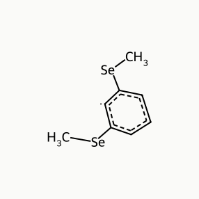 C[Se]c1[c]c([Se]C)ccc1